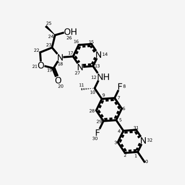 Cc1ccc(-c2cc(F)c([C@H](C)Nc3nccc(N4C(=O)OCC4[C@@H](C)O)n3)cc2F)cn1